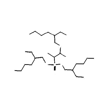 CCCCC(CC)CNC(C)C(C)P(=O)(OCC(CC)CCCC)OCC(CC)CCCC